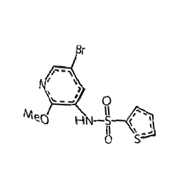 COc1ncc(Br)cc1NS(=O)(=O)c1cccs1